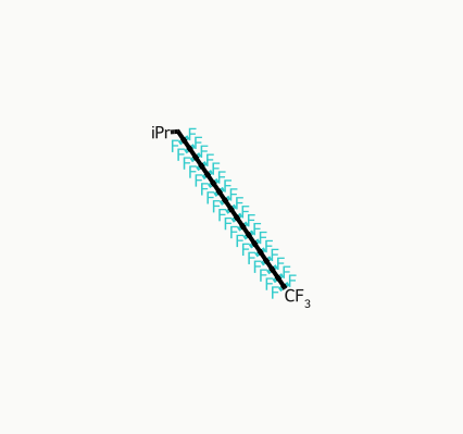 CC(C)CC(F)(F)C(F)(F)C(F)(F)C(F)(F)C(F)(F)C(F)(F)C(F)(F)C(F)(F)C(F)(F)C(F)(F)C(F)(F)C(F)(F)C(F)(F)C(F)(F)C(F)(F)C(F)(F)C(F)(F)C(F)(F)C(F)(F)F